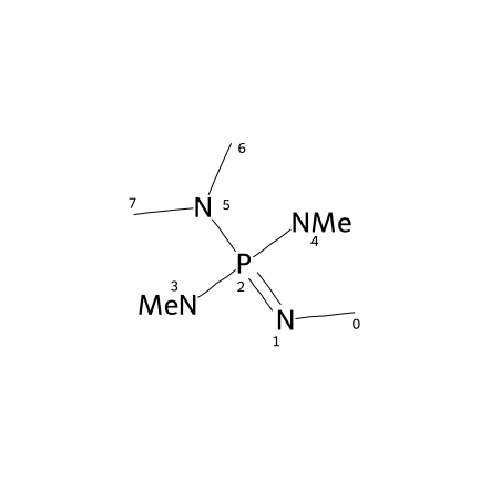 CN=P(NC)(NC)N(C)C